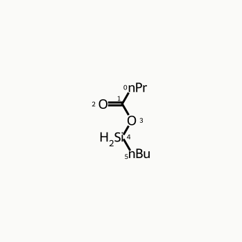 [CH2]CCC(=O)O[SiH2]CCCC